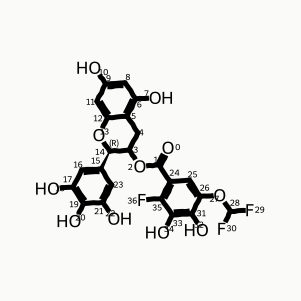 O=C(OC1Cc2c(O)cc(O)cc2O[C@@H]1c1cc(O)c(O)c(O)c1)c1cc(OC(F)F)c(O)c(O)c1F